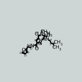 CC(C)CCNC(=O)C1(C)Cn2nc(C(=O)NCCc3ccco3)cc2C(=O)N1C